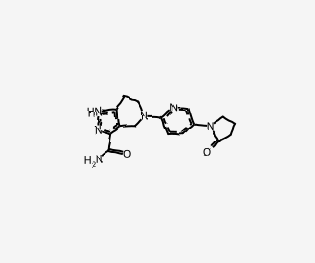 NC(=O)c1n[nH]c2c1CN(c1ccc(N3CCCC3=O)cn1)CC2